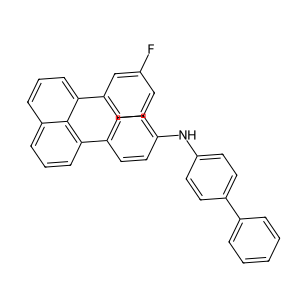 Fc1cccc(-c2cccc3cccc(-c4ccc(Nc5ccc(-c6ccccc6)cc5)cc4)c23)c1